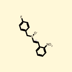 O=[N+]([O-])c1ccccc1/C=C/[S+]([O-])Cc1ccc(F)cc1